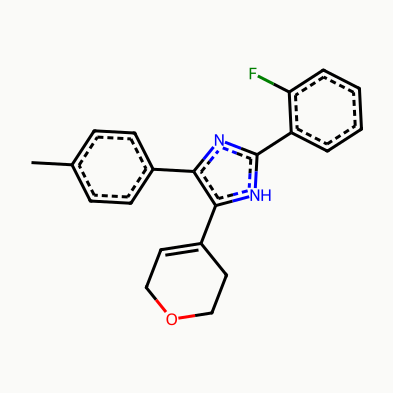 Cc1ccc(-c2nc(-c3ccccc3F)[nH]c2C2=CCOCC2)cc1